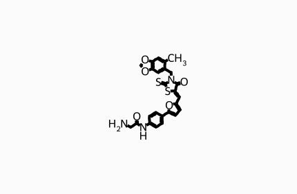 Cc1cc2c(cc1CN1C(=O)C(=Cc3ccc(-c4ccc(NC(=O)CN)cc4)o3)SC1=S)OCO2